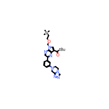 CC(C)(C)C(=O)c1cn(COCC[Si](C)(C)C)c2ncc(-c3cccc(N4CCn5cnnc5C4)c3)nc12